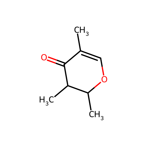 CC1=COC(C)C(C)C1=O